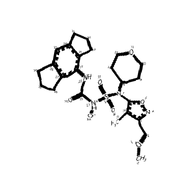 COCc1noc(N(C2CCOCC2)S(=O)(=O)[NH+]([O-])C(=O)Nc2c3c(cc4c2CCC4)CCC3)c1C